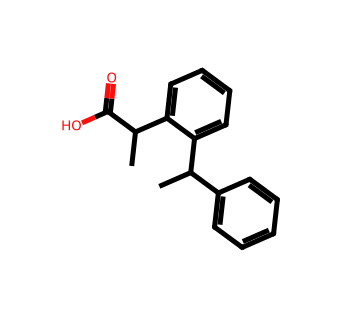 CC(C(=O)O)c1ccccc1C(C)c1ccccc1